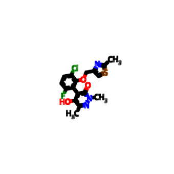 Cc1nc(COc2c(Cl)ccc(F)c2-c2c(O)c(C)nn(C)c2=O)cs1